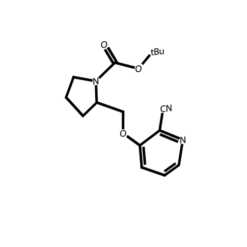 CC(C)(C)OC(=O)N1CCCC1COc1cccnc1C#N